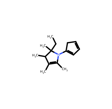 CCC1(C)C(C)C(C)=C(C)N1C1=CC=CC1